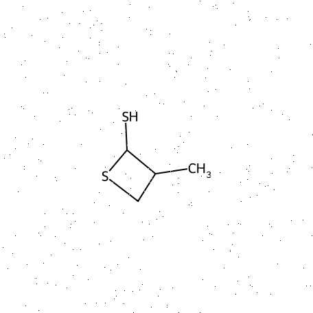 CC1CSC1S